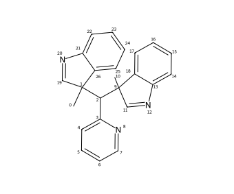 CC1(C(c2ccccn2)C2(C)C=Nc3ccccc32)C=Nc2ccccc21